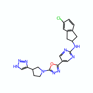 Clc1ccc2c(c1)CC(Nc1ncc(-c3nnc(N4CCC(c5c[nH]nn5)C4)o3)cn1)C2